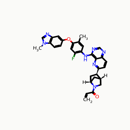 C=CC(=O)N1C[C@@H]2C[C@H]1C[C@H]2c1ccc2ncnc(Nc3cc(C)c(Oc4ccc5c(c4)ncn5C)cc3F)c2n1